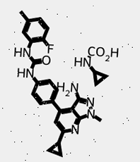 Cc1ccc(F)c(NC(=O)Nc2ccc(-c3cc(C4CC4)nc4c3c(N)nn4C)cc2)c1.O=C(O)NC1CC1